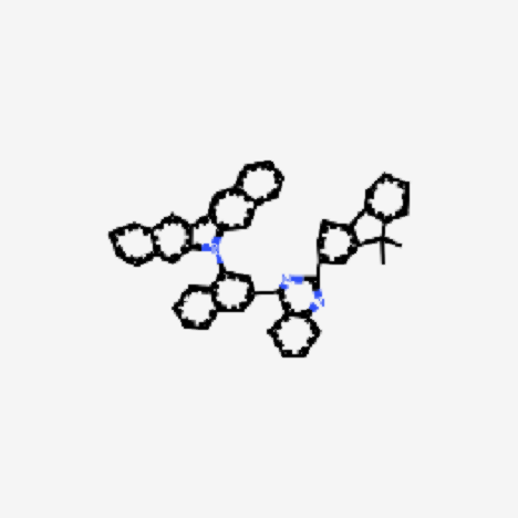 CC1(C)c2ccccc2-c2ccc(-c3nc(-c4cc(-n5c6cc7ccccc7cc6c6cc7ccccc7cc65)c5ccccc5c4)c4ccccc4n3)cc21